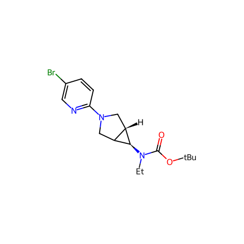 CCN(C(=O)OC(C)(C)C)[C@H]1C2CN(c3ccc(Br)cn3)C[C@@H]21